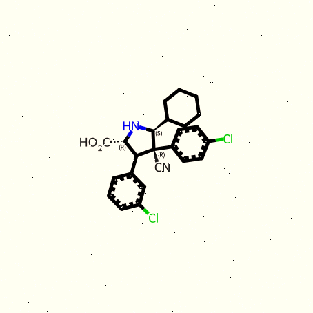 N#C[C@@]1(c2ccc(Cl)cc2)C(c2cccc(Cl)c2)[C@H](C(=O)O)N[C@H]1C1CCCCC1